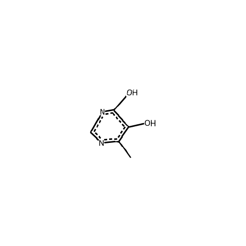 Cc1ncnc(O)c1O